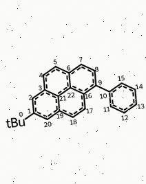 CC(C)(C)c1cc2ccc3ccc(-c4ccccc4)c4ccc(c1)c2c34